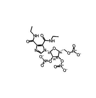 CCNC(=O)c1ncn([C@@H]2O[C@H](CO[N+](=O)[O-])[C@@H](O[N+](=O)[O-])[C@H]2O[N+](=O)[O-])c1C(=O)NCC